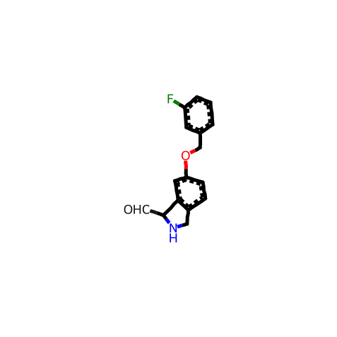 O=CC1NCc2ccc(OCc3cccc(F)c3)cc21